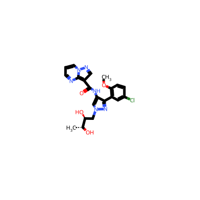 COc1ccc(Cl)cc1-c1nn(C[C@H](O)[C@@H](C)O)cc1NC(=O)c1cnn2cccnc12